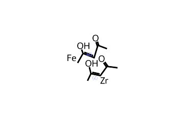 CC(=O)/C=C(/C)O.CC(=O)/C=C(/C)O.[Fe].[Zr]